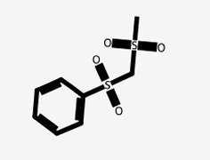 CS(=O)(=O)CS(=O)(=O)c1ccccc1